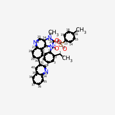 CCc1ccccc1[N+]1(OS(=O)(=O)c2ccc(C)cc2)C(=O)N(C)c2cnc3ccc(-c4cnc5ccccc5c4)cc3c21